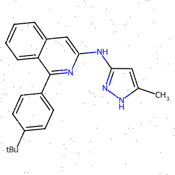 Cc1cc(Nc2cc3ccccc3c(-c3ccc(C(C)(C)C)cc3)n2)n[nH]1